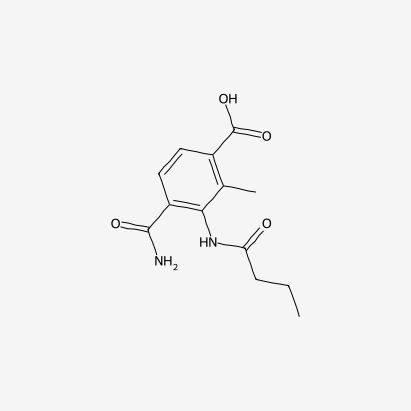 CCCC(=O)Nc1c(C(N)=O)ccc(C(=O)O)c1C